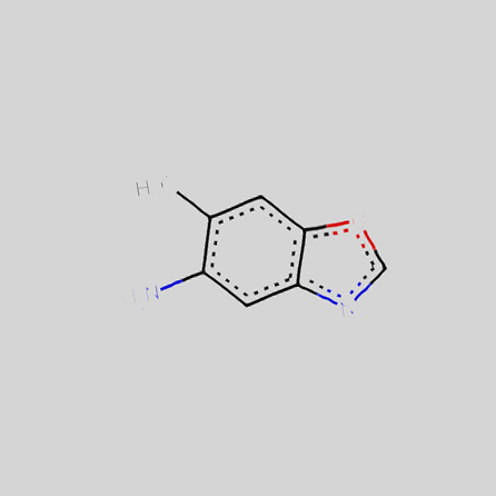 Cc1cc2ocnc2cc1N